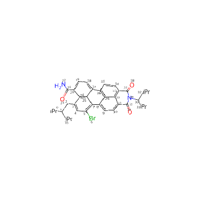 CC(C)C(Cc1cc(Br)c2c3ccc4c5c(ccc(c6ccc(C(N)=O)c1c62)c53)C(=O)N(C(C(C)C)C(C)C)C4=O)C(C)C